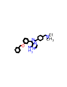 CCN(C)CC1CCC(c2nc(-c3cccc(OCc4ccccc4)c3)c3c(N)nccn23)CC1